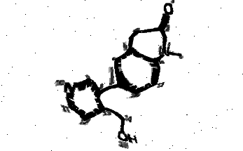 CN1C(=O)Cc2cc(-c3cnccc3CO)ccc21